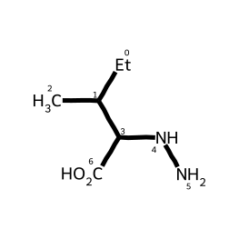 CCC(C)C(NN)C(=O)O